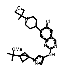 COC(C)(C)C12CC(n3cc(Nc4ncc5cc(Cl)c(C6CCN(C7(C)COC7)CC6)cc5n4)cn3)(C1)C2